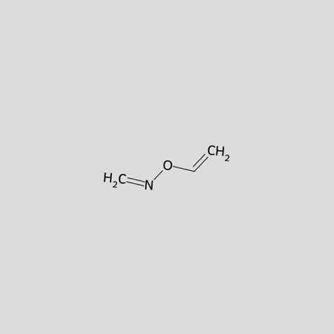 C=CON=C